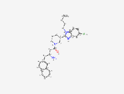 COCCCn1c(C2CCCN(C(=O)CC(N)Cc3ccc4ccccc4c3)C2)nc2cc(F)ccc21